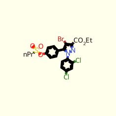 CCCS(=O)(=O)Oc1ccc(-c2c(Br)c(C(=O)OCC)nn2-c2ccc(Cl)cc2Cl)cc1